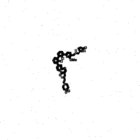 COc1nc(-c2cccc(-c3cccc(-c4ccn5c(=O)c(CNCCN6CCS(=O)(=O)CC6)cnc5c4)c3Cl)c2Cl)ccc1CNC[C@H]1CCC(=O)N1